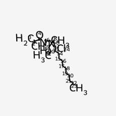 C=C(C)C(=O)NC[N+](C)(CCC)CCCCCCCCCCCC.[Cl-]